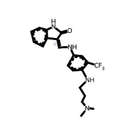 CN(C)CCCNc1ccc(N/C=C2\C(=O)Nc3ccccc32)cc1C(F)(F)F